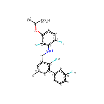 CCC(Oc1ccc(F)c(NCc2cc(C)cc(-c3cccc(F)c3)c2F)c1F)C(=O)O